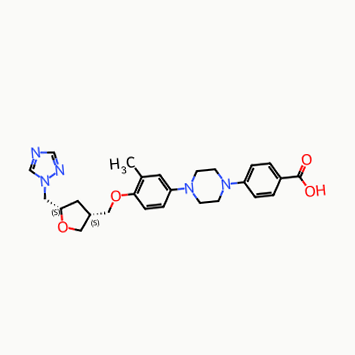 Cc1cc(N2CCN(c3ccc(C(=O)O)cc3)CC2)ccc1OC[C@@H]1CO[C@H](Cn2cncn2)C1